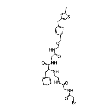 Cc1cc(Cc2ccc(COCNC(=O)CNC(=O)[C@H](Cc3ccccc3)NCCNC(=O)CNC(=O)CBr)cc2)cs1